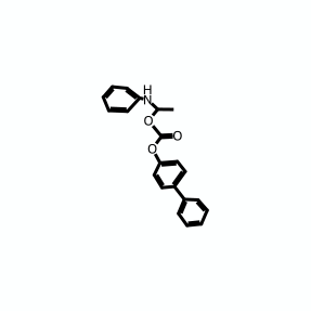 CC(Nc1ccccc1)OC(=O)Oc1ccc(-c2ccccc2)cc1